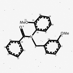 COc1cccc(CN(C(=O)c2ccccc2)c2ccccc2OC)c1